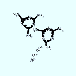 Nc1nc(N)nc(N)n1.Nc1nc(N)nc(N)n1.[Al+3].[Al+3].[O-2].[O-2].[O-2]